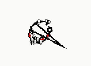 O=S1(=O)Cc2ccc(cc2)-c2cc3cc(c2)-c2ccc(cc2)CS(=O)(=O)Cc2ccc(cc2)-c2cc(cc(c2)-c2ccc(cc2)CS(=O)(=O)Cc2ccc-3cc2)-c2ccc(cc2)C1